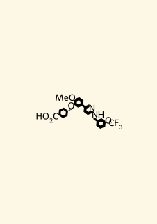 COc1ccc(-c2ccc(NCc3cccc(OC(F)(F)F)c3)nc2)cc1OC[C@H]1CC[C@H](C(=O)O)CC1